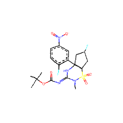 CN1/C(=N/C(=O)OC(C)(C)C)NC2(c3cc([N+](=O)[O-])ccc3F)CC(F)CC2S1(=O)=O